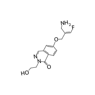 NC/C(=C\F)COc1ccc2c(=O)n(CCO)ncc2c1